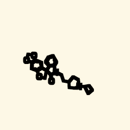 O=C1N(CCC2CCN(C3CCC3)CC2)c2ccccc2C12COc1cc3c(cc12)OCO3